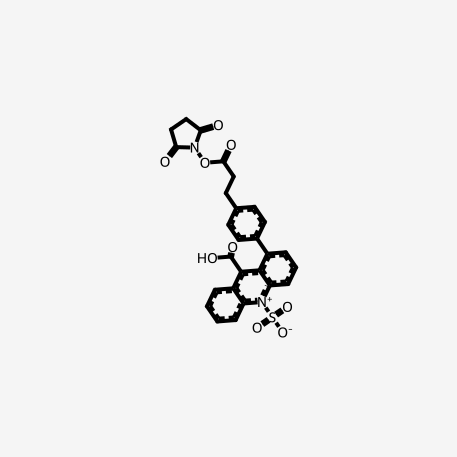 O=C(CCc1ccc(-c2cccc3c2c(C(=O)O)c2ccccc2[n+]3S(=O)(=O)[O-])cc1)ON1C(=O)CCC1=O